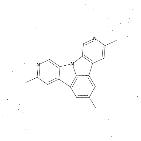 Cc1cc2c3cc(C)ncc3n3c4cnc(C)cc4c(c1)c23